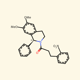 COc1cc2c(cc1OC)[C@H](c1ccccc1)N(C(=O)CCc1ccccc1[N+](=O)[O-])CC2